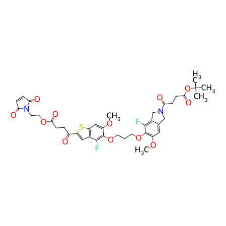 COc1cc2c(c(F)c1OCCCOc1c(OC)cc3sc(C(=O)CCC(=O)OCCN4C(=O)C=CC4=O)cc3c1F)CN(C(=O)CCC(=O)OC(C)(C)C)C2